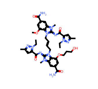 CCn1nc(C)cc1C(=O)/N=c1\n(C)c2cc(C(N)=O)cc(OC)c2n1C/C=C/Cn1/c(=N/C(=O)c2cc(C)nn2CC)n(C)c2cc(C(N)=O)cc(OCCCO)c21